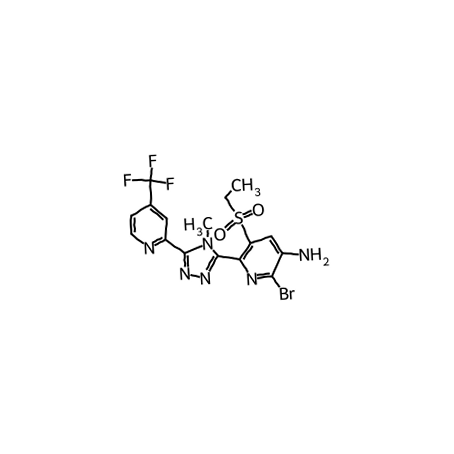 CCS(=O)(=O)c1cc(N)c(Br)nc1-c1nnc(-c2cc(C(F)(F)F)ccn2)n1C